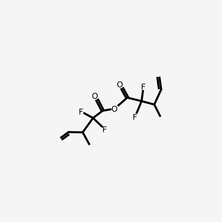 C=CC(C)C(F)(F)C(=O)OC(=O)C(F)(F)C(C)C=C